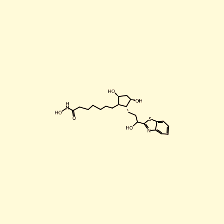 O=C(CCCCCCC1[C@@H](CCC(O)c2nc3ccccc3s2)[C@H](O)C[C@@H]1O)NO